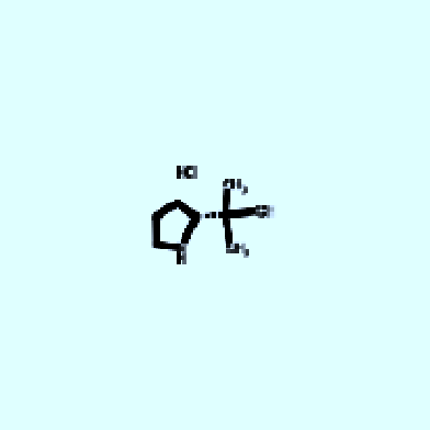 CC(C)(O)[C@H]1CCCN1.Cl